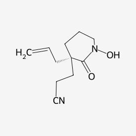 C=CC[C@]1(CCC#N)CCCN(O)C1=O